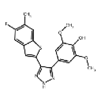 COc1cc(-c2n[nH]nc2-c2cc3cc(F)c(C)cc3s2)cc(OC)c1O